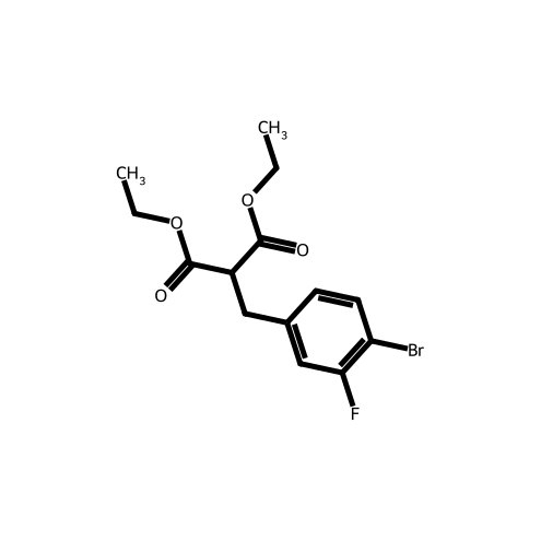 CCOC(=O)C(Cc1ccc(Br)c(F)c1)C(=O)OCC